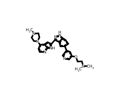 CN(C)CCOc1cncc(-c2ccc3[nH]nc(-c4cc5c(N6CCN(C)CC6)ccnc5[nH]4)c3c2)c1